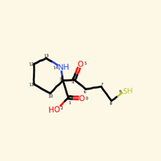 O=C(O)C1(C(=O)CCCS)CCCCN1